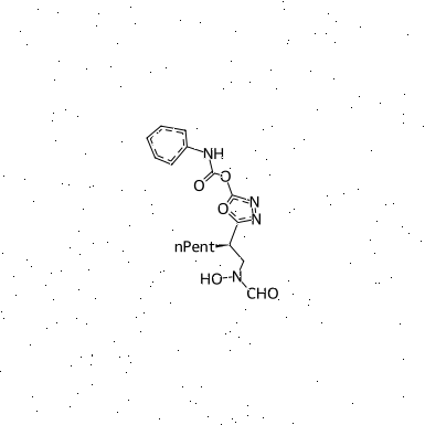 CCCCC[C@H](CN(O)C=O)c1nnc(OC(=O)Nc2ccccc2)o1